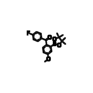 COc1ccc(C(=O)c2ccc(F)cc2)c(B2OC(C)(C)C(C)(C)O2)c1